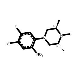 C[C@@H]1CN(c2cc(F)c(Br)cc2[N+](=O)[O-])C[C@@H](C)N1C